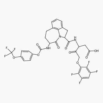 O=C(O)CC(NC(=O)C1Cc2cccc3c2N1C(=O)C(NC(=O)Oc1ccc(OC(F)(F)F)cc1)CC3)C(=O)COc1c(F)c(F)cc(F)c1F